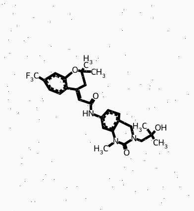 CN1C(=O)N(CC(C)(C)O)Cc2ccc(NC(=O)/C=C3\CC(C)(C)Oc4cc(C(F)(F)F)ccc43)cc21